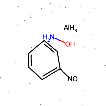 NO.O=Nc1ccccc1.[AlH3]